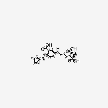 O=C(O)c1cc(NCCCC(S(=O)(=O)O)S(=O)(=O)O)ccc1N=Nc1nccs1